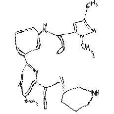 Cc1cc(C(=O)Nc2cccc(-c3cnc(N)c(C(=O)N[C@H]4CCCNC4)n3)c2)n(C)n1